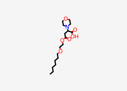 CCCCCCCOCCOC(=O)CC(C(=O)O)N1CCOCC1